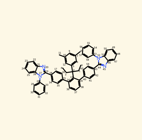 CCC(CC)(c1cc(C)cc(C)c1)c1c(-c2ccc(-c3nc4ccccc4n3-c3ccccc3)cc2)cccc1-c1ccc(-c2nc3ccccc3n2-c2ccccc2)cc1